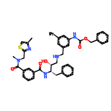 Cc1csc(CN(C)C(=O)c2cccc(C(=O)N[C@@H](Cc3ccccc3)[C@H](O)CNCc3cc(NC(=O)OCc4ccccc4)cc(C(C)C)c3)c2)n1